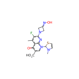 Cc1c(F)c(N2CC(=NO)C2)nc2c1c(=O)c(C(=O)O)cn2C1SC=CN1C